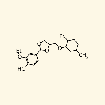 CCOc1cc(C2OCC(COC3CC(C)CCC3C(C)C)O2)ccc1O